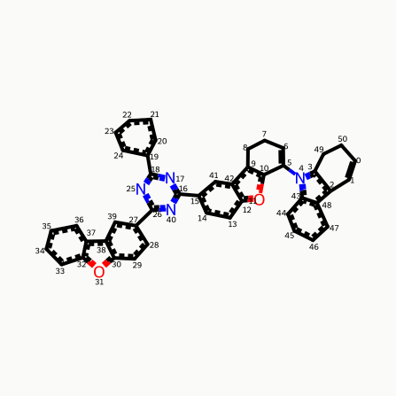 C1=Cc2c(n(C3=CCCc4c3oc3ccc(-c5nc(-c6ccccc6)nc(-c6ccc7oc8ccccc8c7c6)n5)cc43)c3ccccc23)CC1